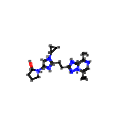 Cc1ncc(C)n2nc(CCc3nc(N4CCCC4=O)cn3C3CC3)nc12